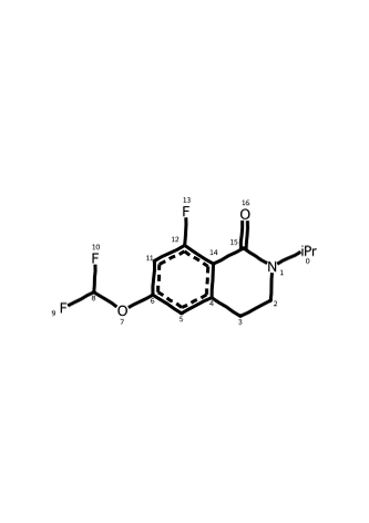 CC(C)N1CCc2cc(OC(F)F)cc(F)c2C1=O